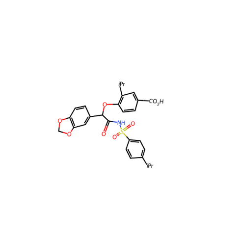 CC(C)c1ccc(S(=O)(=O)NC(=O)C(Oc2ccc(C(=O)O)cc2C(C)C)c2ccc3c(c2)OCO3)cc1